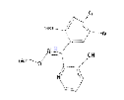 CC(C)(C)O/N=C(/c1cc(Br)c(Cl)cc1O)c1ncccc1O